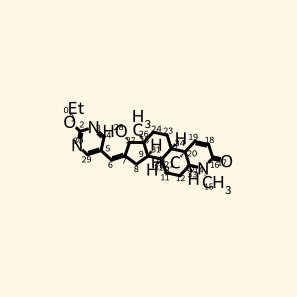 CCOc1ncc(/C=C2/C[C@H]3[C@@H]4CC[C@H]5N(C)C(=O)C=C[C@]5(C)[C@H]4CC[C@]3(C)[C@H]2O)cn1